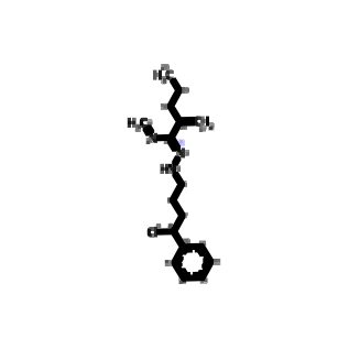 C=N/C(=N\NCCCC(Cl)c1ccccc1)C(=C)CCC